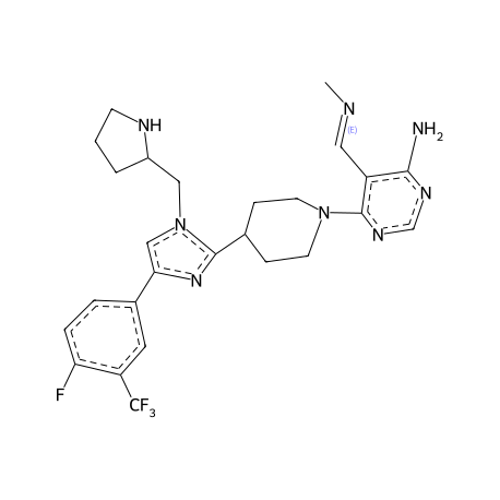 C/N=C/c1c(N)ncnc1N1CCC(c2nc(-c3ccc(F)c(C(F)(F)F)c3)cn2CC2CCCN2)CC1